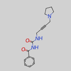 O=C(NCC#CCN1CCCC1)NC(=O)c1ccccc1